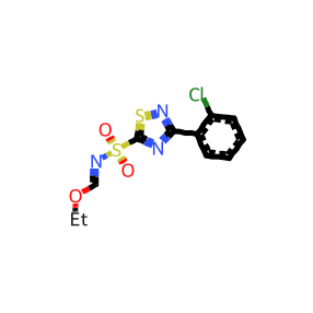 CCOC=NS(=O)(=O)c1nc(-c2ccccc2Cl)ns1